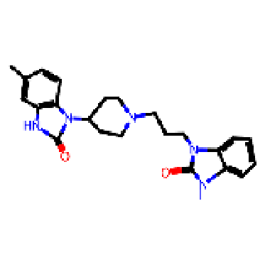 Cc1ccc2c(c1)[nH]c(=O)n2C1CCN(CCCn2c(=O)[nH]c3ccccc32)CC1